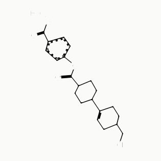 CCC1CC=C(C2CCC(C(=O)Oc3ccc(C(=O)OC)cc3)CC2)CC1